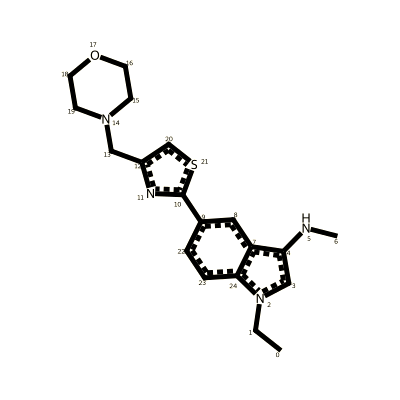 CCn1cc(NC)c2cc(-c3nc(CN4CCOCC4)cs3)ccc21